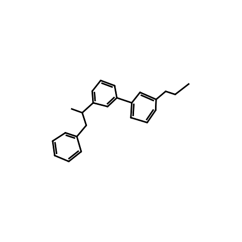 CCCc1cccc(-c2cccc(C(C)Cc3ccccc3)c2)c1